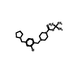 CC(C)(C)OC(=O)N1CCN(Cc2ccc(CN3CCCC3)cc2Cl)CC1